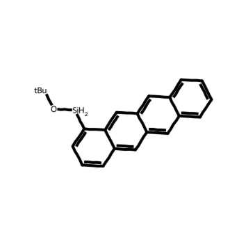 CC(C)(C)O[SiH2]c1cccc2cc3cc4ccccc4cc3cc12